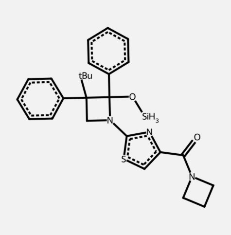 CC(C)(C)C1(c2ccccc2)CN(c2nc(C(=O)N3CCC3)cs2)C1(O[SiH3])c1ccccc1